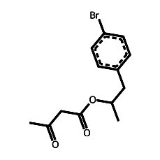 CC(=O)CC(=O)OC(C)Cc1ccc(Br)cc1